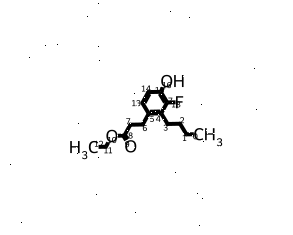 CCCCc1c(CCC(=O)OCC)ccc(O)c1F